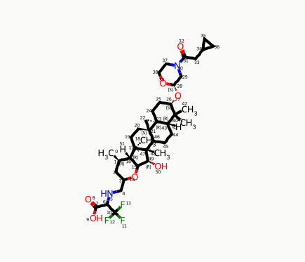 C[C@@H]1CC(CNC(C(=O)O)C(F)(F)F)OC2[C@H]1[C@@]1(C)CC[C@@]34C[C@@]35CC[C@H](O[C@H]3CN(C(=O)CC6CC6)CCO3)C(C)(C)[C@@H]5CCC4[C@]1(C)[C@H]2O